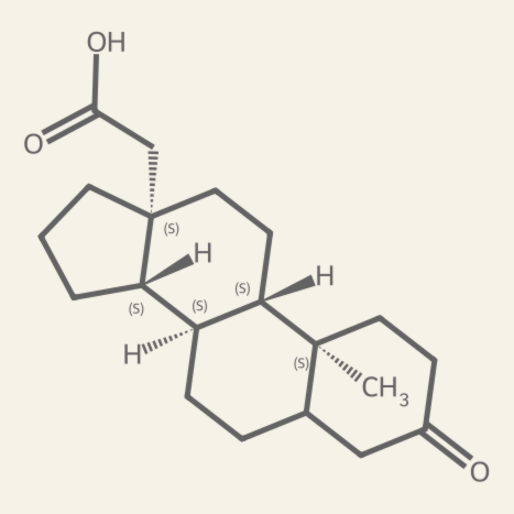 C[C@]12CCC(=O)CC1CC[C@H]1[C@@H]3CCC[C@@]3(CC(=O)O)CC[C@@H]12